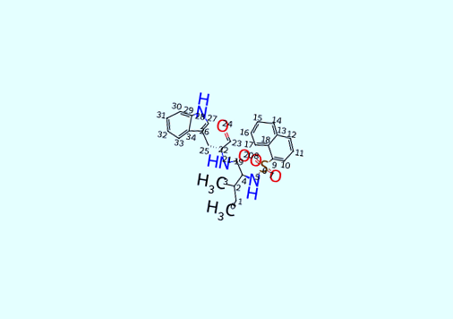 CCC(C)[C@H](NS(=O)(=O)c1cccc2ccccc12)C(=O)N[C@@H](C=O)Cc1c[nH]c2ccccc12